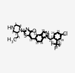 CC[C@H]1CNCCN1C1=NC(=O)C(=Cc2ccc3c(cnn3Cc3ccc(Cl)cc3C(F)(F)F)c2)S1